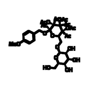 COc1ccc(CO[C@]2(C(C)=O)O[C@H](CO[C@@H]3O[C@H](CO)[C@@H](O)[C@H](O)[C@H]3O)[C@](OC(C)=O)(C(C)=O)[C@@](OC(C)=O)(C(C)=O)[C@]2(OC(C)=O)C(C)=O)cc1